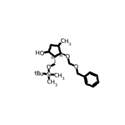 CC1CC(O)[C@@H](CO[Si](C)(C)C(C)(C)C)[C@@H]1OCOCc1ccccc1